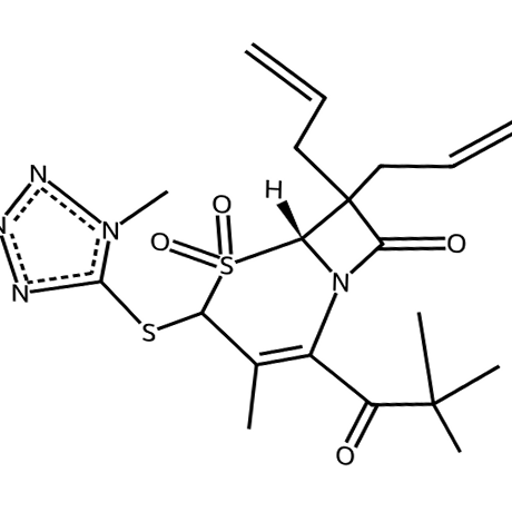 C=CCC1(CC=C)C(=O)N2C(C(=O)C(C)(C)C)=C(C)C(Sc3nnnn3C)S(=O)(=O)[C@@H]21